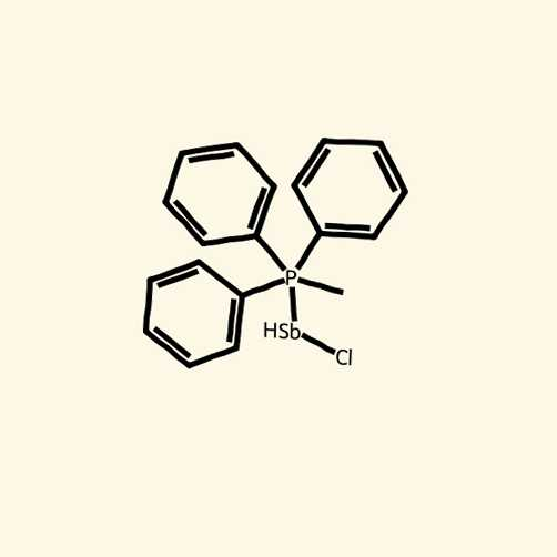 C[P]([SbH][Cl])(c1ccccc1)(c1ccccc1)c1ccccc1